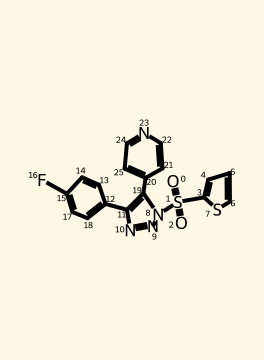 O=S(=O)(c1cccs1)n1nnc(-c2ccc(F)cc2)c1-c1ccncc1